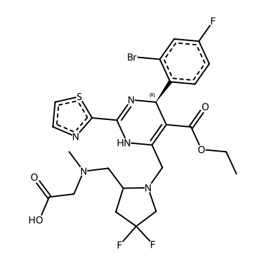 CCOC(=O)C1=C(CN2CC(F)(F)CC2CN(C)CC(=O)O)NC(c2nccs2)=N[C@H]1c1ccc(F)cc1Br